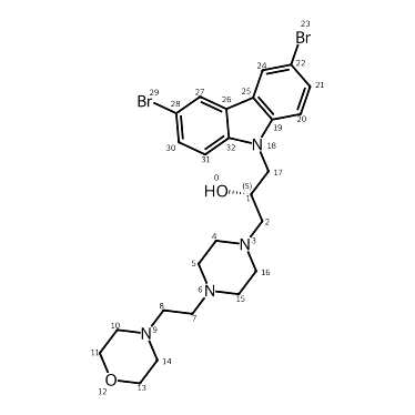 O[C@@H](CN1CCN(CCN2CCOCC2)CC1)Cn1c2ccc(Br)cc2c2cc(Br)ccc21